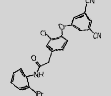 CC(C)c1ccccc1NC(=O)Cc1ccc(Oc2cc(C#N)cc(C#N)c2)c(Cl)c1